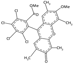 COC(=O)c1c(Cl)c(Cl)c(Cl)c(Cl)c1-c1c2cc(C)c(=O)c(C)c-2oc2c(C)c(OC)c(C)cc12